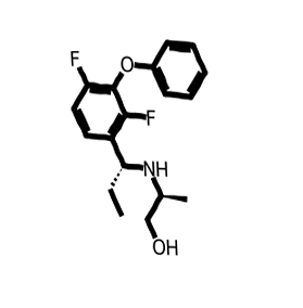 CC[C@@H](N[C@@H](C)CO)c1ccc(F)c(Oc2ccccc2)c1F